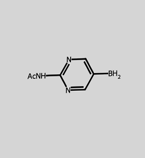 Bc1cnc(NC(C)=O)nc1